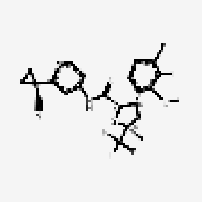 COc1c([C@@H]2C[C@](C)(C(F)(F)F)S[C@H]2C(=O)Nc2ccnc(C3(C#N)CC3)c2)ccc(F)c1F